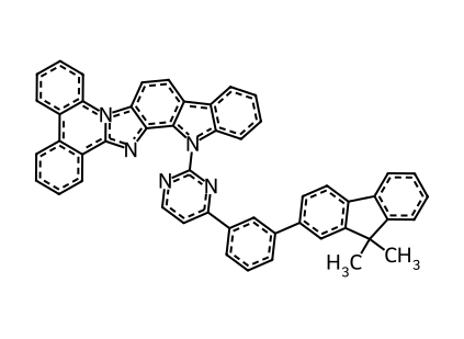 CC1(C)c2ccccc2-c2ccc(-c3cccc(-c4ccnc(-n5c6ccccc6c6ccc7c(nc8c9ccccc9c9ccccc9n78)c65)n4)c3)cc21